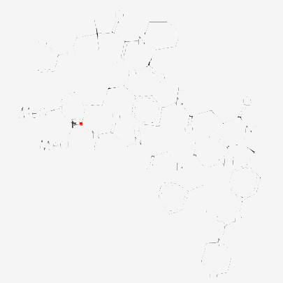 C=CC(=O)OCC(C)(C)C(=O)C(=O)N1CCCC[C@H]1C(=O)O[C@H](CCc1ccc(OC)c(OC)c1)c1cccc(NC(=O)CCC(=O)N(C)[C@@H](Cc2ccc(OC(=O)N3CCOCC3)cc2)C(=O)N[C@H](Cc2ccccc2)C(=O)N(C)CC(=O)NCC(=O)N(C)CC)c1